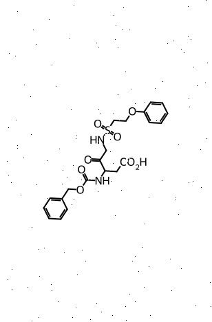 O=C(O)CC(NC(=O)OCc1ccccc1)C(=O)CNS(=O)(=O)CCOc1ccccc1